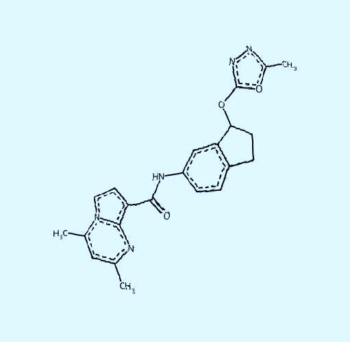 Cc1cc(C)n2ccc(C(=O)Nc3ccc4c(c3)C(Oc3nnc(C)o3)CC4)c2n1